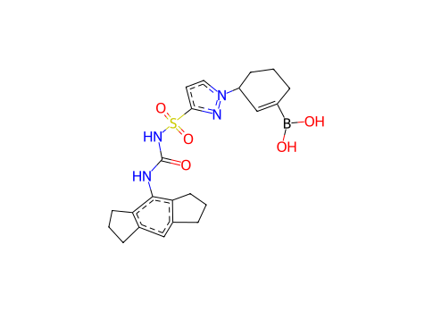 O=C(Nc1c2c(cc3c1CCC3)CCC2)NS(=O)(=O)c1ccn(C2C=C(B(O)O)CCC2)n1